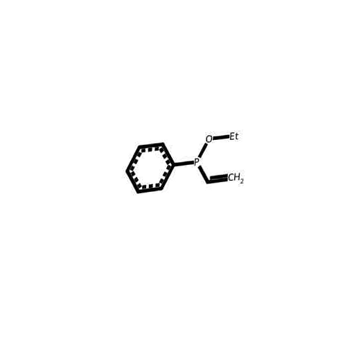 C=CP(OCC)c1ccccc1